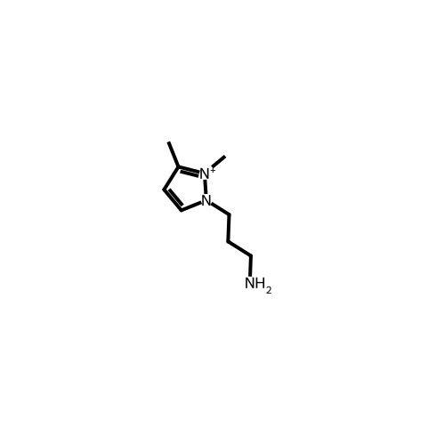 Cc1ccn(CCCN)[n+]1C